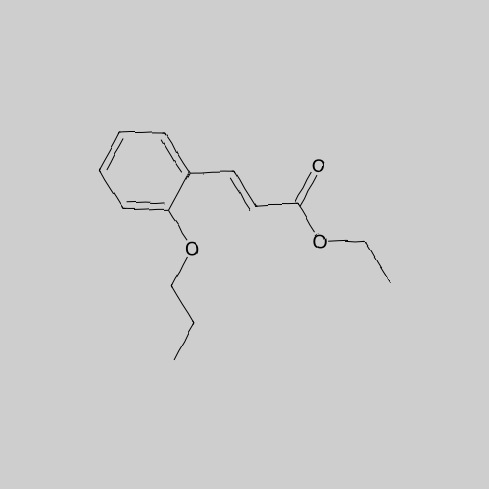 CCCOc1ccccc1C=CC(=O)OCC